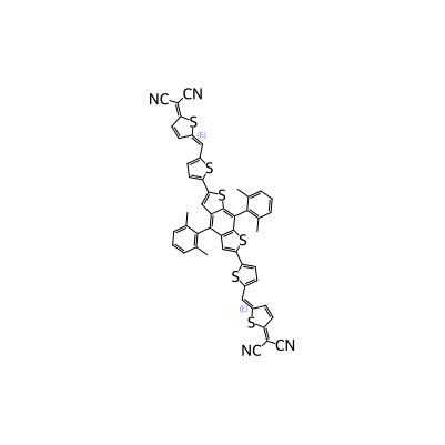 Cc1cccc(C)c1-c1c2cc(-c3ccc(/C=c4\ccc(=C(C#N)C#N)s4)s3)sc2c(-c2c(C)cccc2C)c2sc(-c3ccc(/C=c4\ccc(=C(C#N)C#N)s4)s3)cc12